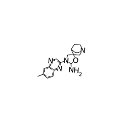 Cc1ccc2nc(N3CC4(CN5CCC4CC5)OC3N)cnc2c1